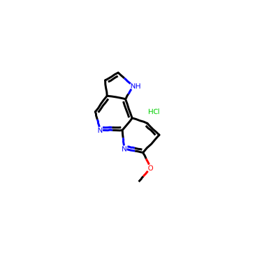 COc1ccc2c(ncc3cc[nH]c32)n1.Cl